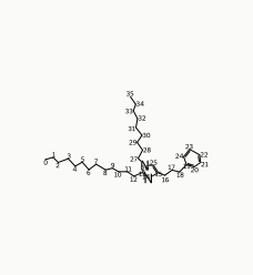 CCCCCCCCCCCCCc1nc(CCCc2ccccc2)cn1CCCCCCCCC